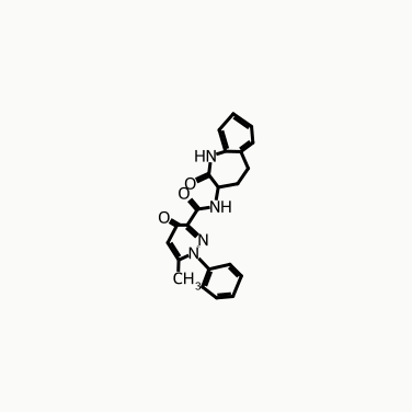 Cc1cc(=O)c(C(=O)NC2CCc3ccccc3NC2=O)nn1-c1ccccc1